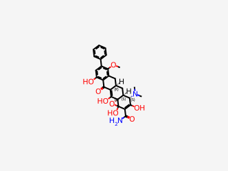 COc1c(-c2ccccc2)cc(O)c2c1C[C@H]1C[C@H]3[C@H](N(C)C)C(O)=C(C(N)=O)C4(O)O[C@]34C(O)=C1C2=O